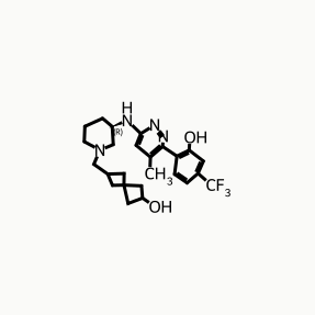 Cc1cc(N[C@@H]2CCCN(CC3CC4(CC(O)C4)C3)C2)nnc1-c1ccc(C(F)(F)F)cc1O